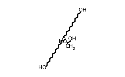 CC(O)CO.OCCCCCCCCCCCCOCCCCCCCCCCCCO